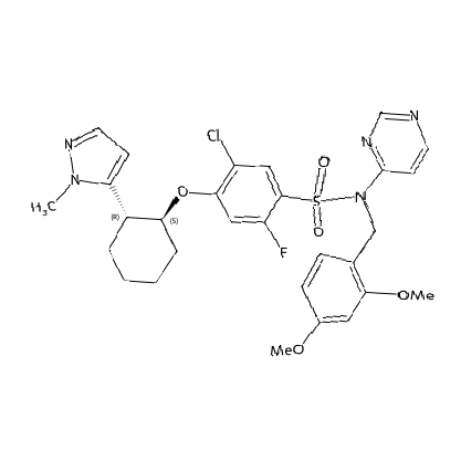 COc1ccc(CN(c2ccncn2)S(=O)(=O)c2cc(Cl)c(O[C@H]3CCCC[C@@H]3c3ccnn3C)cc2F)c(OC)c1